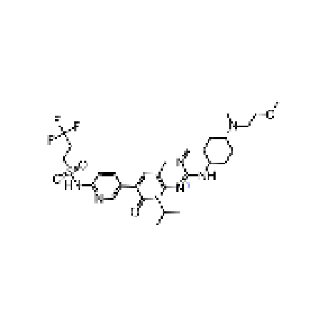 C=N/C(=N\c1c(C)cc(-c2ccc(NS(=O)(=O)CCC(F)(F)F)nc2)c(=O)n1C(C)C)N[C@H]1CC[C@H](N(C)CCOC)CC1